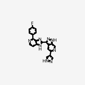 Fc1ccc(-c2nccc3[nH]c(-c4n[nH]c5cnc(-c6cn[nH]c6)cc45)nc23)cc1